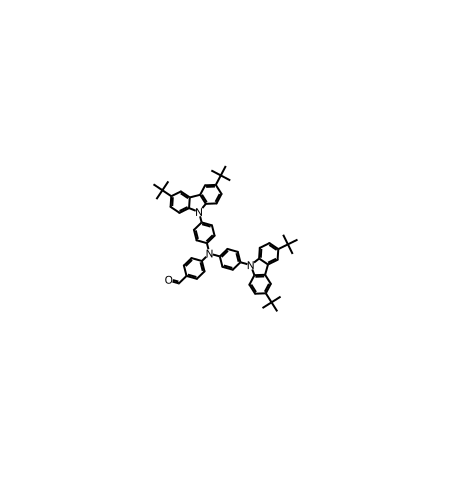 CC(C)(C)c1ccc2c(c1)c1cc(C(C)(C)C)ccc1n2-c1ccc(N(c2ccc(C=O)cc2)c2ccc(-n3c4ccc(C(C)(C)C)cc4c4cc(C(C)(C)C)ccc43)cc2)cc1